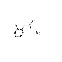 CCN(CCN)Cc1ccccc1Cl